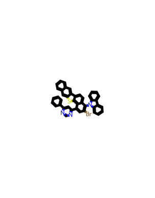 Brc1cc(-c2cc(-c3ccccc3)ncn2)c2c(ccc3c4cc5ccccc5cc4sc32)c1-n1c2ccccc2c2ccccc21